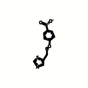 O=[N+]([O-])c1ccc(OOCc2cncs2)cc1